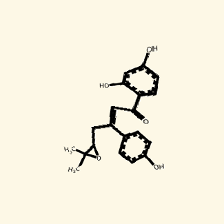 CC1(C)OC1CC(=CC(=O)c1ccc(O)cc1O)c1ccc(O)cc1